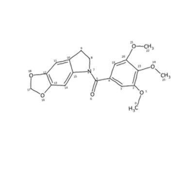 COc1cc(C(=O)N2CCc3cc4c(cc32)OCO4)cc(OC)c1OC